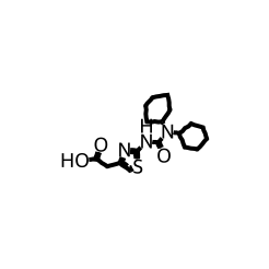 O=C(O)Cc1csc(NC(=O)N(C2CCCCC2)C2CCCCC2)n1